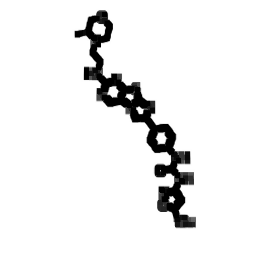 C[C@H]1COCCN1CCNc1ncc2c(n1)sc1nc(-c3ccc(NC(=O)Nc4cc(C(C)(C)C)on4)cc3)cn12